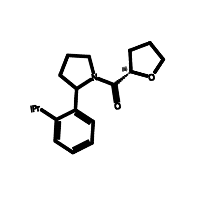 CC(C)c1ccccc1C1CCCN1C(=O)[C@@H]1CCCO1